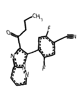 CCCC(=O)c1nc2cccnn2c1-c1cc(F)c(C#N)cc1F